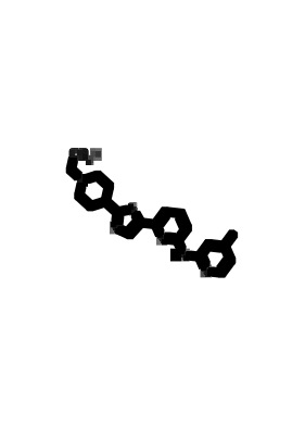 Cc1ccnc(Nc2cccc(-c3cnc(C4CCN(CC(=O)O)CC4)s3)n2)c1